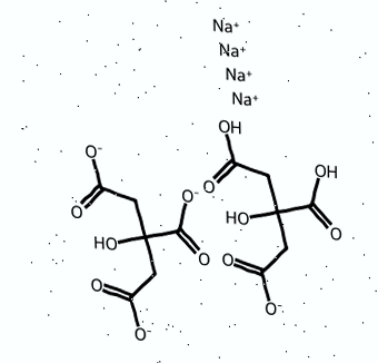 O=C([O-])CC(O)(CC(=O)O)C(=O)O.O=C([O-])CC(O)(CC(=O)[O-])C(=O)[O-].[Na+].[Na+].[Na+].[Na+]